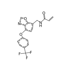 C=CC(=O)NCc1ccc(Oc2ccc(C(F)(F)F)cc2)c2ncoc12